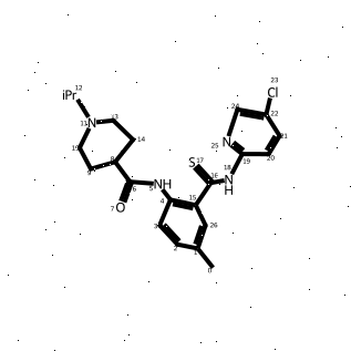 Cc1ccc(NC(=O)C2CCN(C(C)C)CC2)c(C(=S)Nc2ccc(Cl)cn2)c1